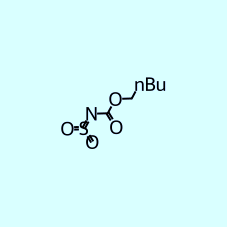 CCCCCOC(=O)N=S(=O)=O